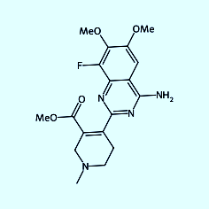 COC(=O)C1=C(c2nc(N)c3cc(OC)c(OC)c(F)c3n2)CCN(C)C1